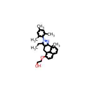 CCc1nn(-c2c(C)cc(C)cc2C)c(CC)c1Cc1c(OCCO)ccc2ccccc12